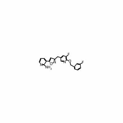 Nc1ncccc1-c1cc(Cc2cnc(OCc3cccc(F)c3)c(F)c2)no1